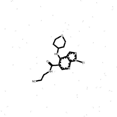 CCn1ncc2c(NC3CCOCC3)c(C(=O)NCCC#N)cnc21